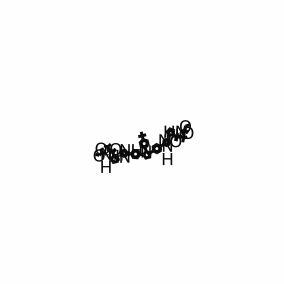 COC(=O)N[C@H](C(=O)N1CCC[C@H]1c1c[nH]c(-c2ccc(C3CCC(c4ccc(-c5nc([C@@H]6CCCN6C(=O)[C@@H](NC(=O)OC)C(C)C)c[nH]5)cc4)N3c3ccc(C(C)(C)C)cc3)cc2)n1)C(C)C